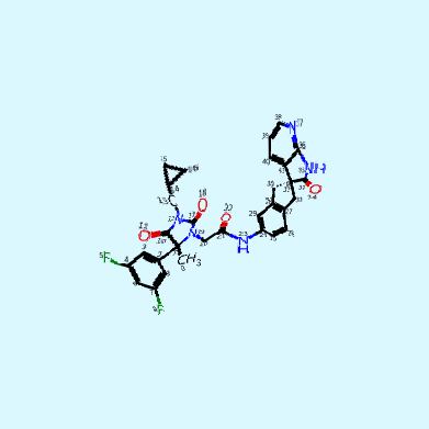 CC1(c2cc(F)cc(F)c2)C(=O)N(CC2CC2)C(=O)N1CC(=O)Nc1ccc2c(c1)C[C@@]1(C2)C(=O)Nc2ncccc21